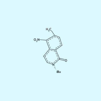 CC[C@@H](C)n1ccc2c([N+](=O)[O-])c(C)ccc2c1=O